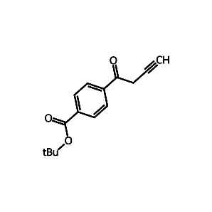 C#CCC(=O)c1ccc(C(=O)OC(C)(C)C)cc1